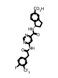 O=C(Cc1ccc(F)c(C(F)(F)F)c1)Nc1cc(C(=O)N[C@H]2CCc3cc(C(=O)O)ccc32)ncn1